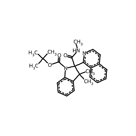 CNC(=O)C1(c2nccc3ccccc23)N(C(=O)OC(C)(C)C)c2ccccc2C1(C)C